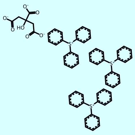 O=C([O-])CC(O)(CC(=O)[O-])C(=O)[O-].c1ccc([S+](c2ccccc2)c2ccccc2)cc1.c1ccc([S+](c2ccccc2)c2ccccc2)cc1.c1ccc([S+](c2ccccc2)c2ccccc2)cc1